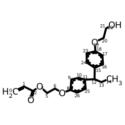 C=CC(=O)OCCOc1ccc(C(CC)c2ccc(OCCO)cc2)cc1